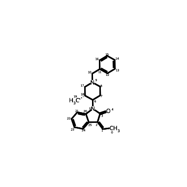 C/C=C1\C(=O)N(C2CCN(Cc3ccccc3)C[C@H]2C)c2ccccc21